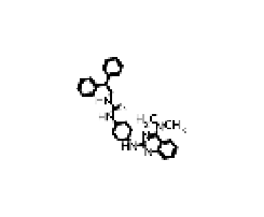 CN(C)c1nc(NC2CCC(NC(=S)NCC(c3ccccc3)c3ccccc3)CC2)nc2ccccc12